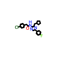 O=C(Cc1ccc(Cl)cc1)Nc1ncc(-c2ccc(F)cc2)nc1CC1CCCC1